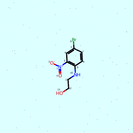 O=[N+]([O-])c1cc(Br)ccc1NCCO